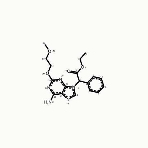 CCOC(=O)C(c1ccccc1)n1cnc2c(N)nc(OCCOC)nc21